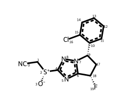 N#CC[S@@+]([O-])c1nc2n(n1)[C@H](c1ccccc1Cl)C[C@@H]2F